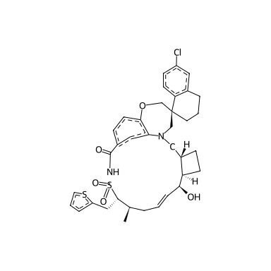 C[C@@H]1C/C=C/[C@H](O)[C@@H]2CC[C@H]2CN2C[C@@]3(CCCc4cc(Cl)ccc43)COc3ccc(cc32)C(=O)NS(=O)(=O)[C@H]1Cc1cccs1